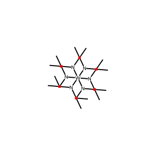 CC[N](CC)[W]([N](CC)CC)([N](CC)CC)([N](CC)CC)([N](CC)CC)[N](CC)CC